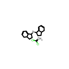 C1=CCC2CC[CH]([Zr][CH]3CCC4CC=CC=C43)C2=C1.C=C(Cl)Cl